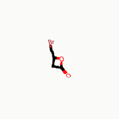 O=C1CC(CBr)O1